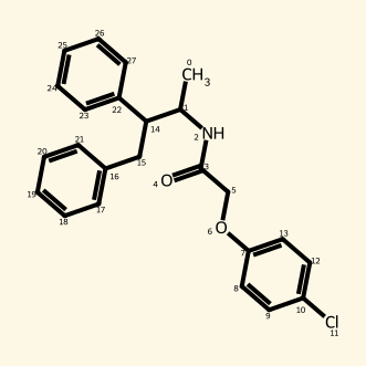 CC(NC(=O)COc1ccc(Cl)cc1)C(Cc1ccccc1)c1ccccc1